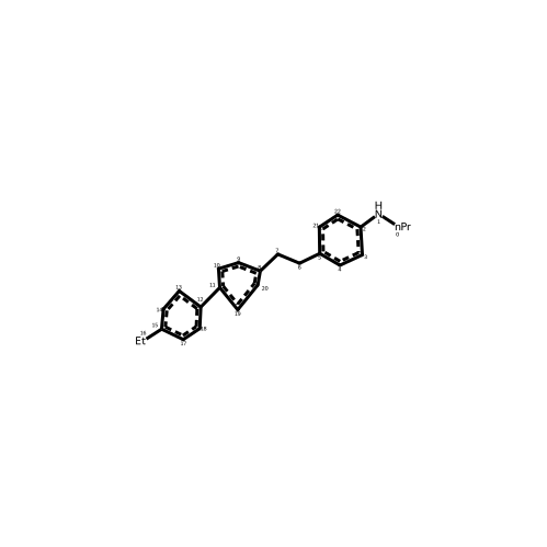 CCCNc1ccc(CCc2ccc(-c3ccc(CC)cc3)cc2)cc1